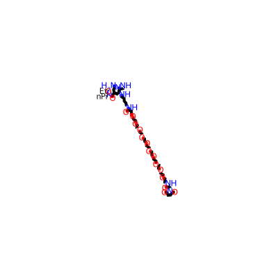 CCCN(OCC)C(=O)C1=CC(NCCCCCNC(=O)CCOCCOCCOCCOCCOCCOCCOCCOCCOCCOCCNC(=O)CN2C(=O)C=CC2=O)=C(C=N)N=C(N)C1